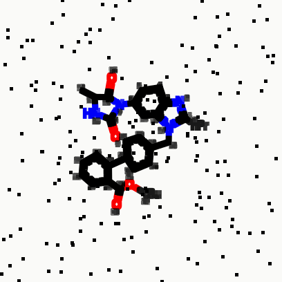 CCCc1nc2ccc(N3C(=O)NC(C)C3=O)cc2n1Cc1ccc(-c2ccccc2C(=O)OC(C)(C)C)cc1